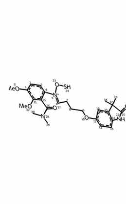 COc1ccc([N+](=CCCCOc2ccc3c(c2)C(C)(C)C(=O)N3)OS)c(C(=O)N(C)C)c1OC